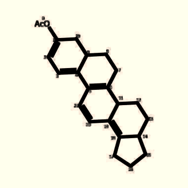 CC(=O)OC1=CC=C2C3=C(CCC2C1)C1CCC2CCCC2=C1C=C3